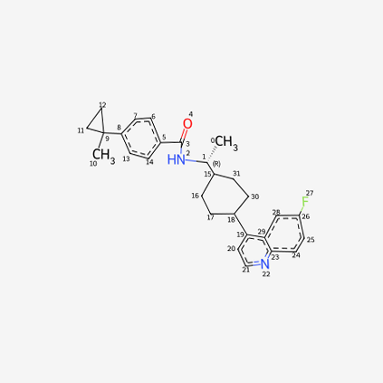 C[C@@H](NC(=O)c1ccc(C2(C)CC2)cc1)C1CCC(c2ccnc3ccc(F)cc23)CC1